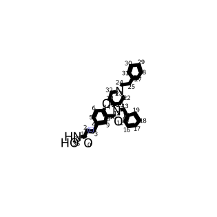 O=C(/C=C/c1ccc2c(c1)C(=O)N(Cc1ccccc1)C1(CCN(CCc3ccccc3)CC1)O2)NO